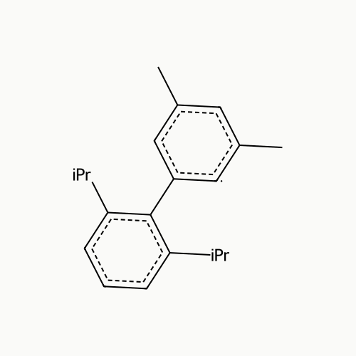 Cc1[c]c(-c2c(C(C)C)cccc2C(C)C)cc(C)c1